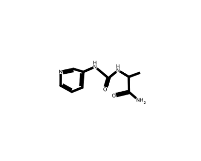 CC(NC(=O)Nc1cccnc1)C(N)=O